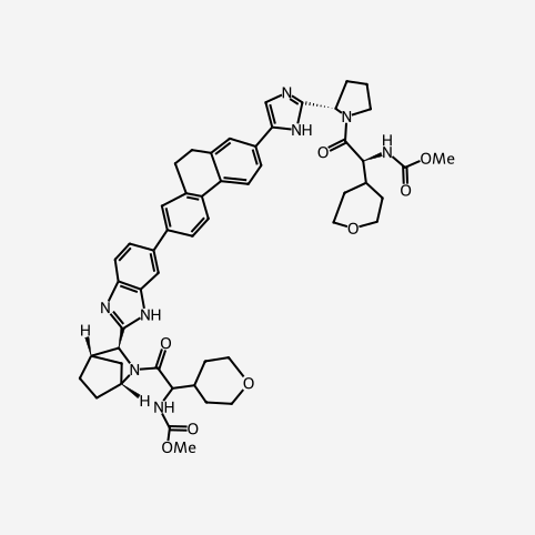 COC(=O)NC(C(=O)N1[C@@H]2CC[C@@H](C2)[C@H]1c1nc2ccc(-c3ccc4c(c3)CCc3cc(-c5cnc([C@@H]6CCCN6C(=O)[C@@H](NC(=O)OC)C6CCOCC6)[nH]5)ccc3-4)cc2[nH]1)C1CCOCC1